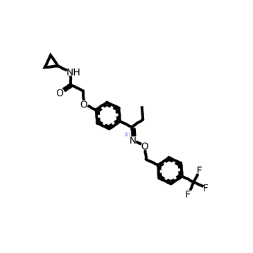 CC/C(=N\OCc1ccc(C(F)(F)F)cc1)c1ccc(OCC(=O)NC2CC2)cc1